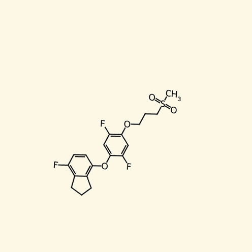 CS(=O)(=O)CCCOc1cc(F)c(Oc2ccc(F)c3c2CCC3)cc1F